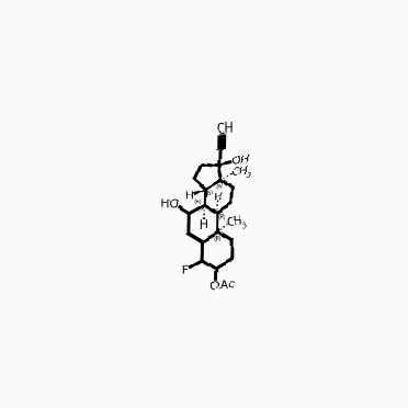 C#CC1(O)CC[C@H]2[C@@H]3C(O)CC4C(F)C(OC(C)=O)CC[C@]4(C)[C@@H]3CC[C@@]21C